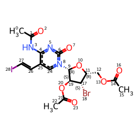 CC(=O)Nc1nc(=O)n([C@@H]2O[C@H](COC(C)=O)[C@H](Br)[C@H]2OC(C)=O)cc1C=CI